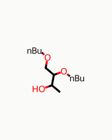 CCCCOCC(OCCCC)C(C)O